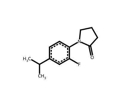 CC(C)c1ccc(N2CCCC2=O)c(F)c1